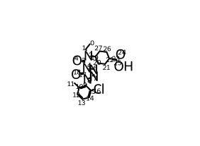 CCN(C(=O)n1nnn(-c2c(C)cccc2Cl)c1=O)C1CCC(C(=O)O)CC1